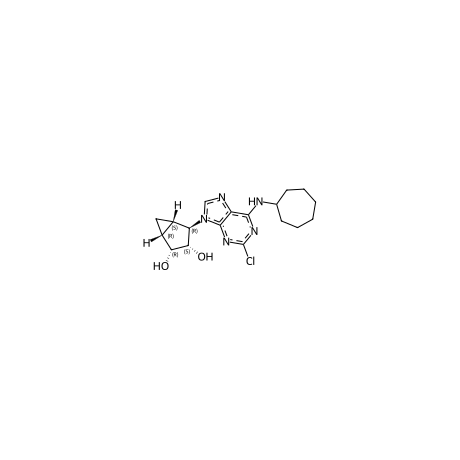 O[C@@H]1[C@H](O)[C@@H]2C[C@@H]2[C@H]1n1cnc2c(NC3CCCCCC3)nc(Cl)nc21